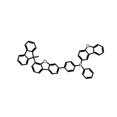 CC1(c2cccc3c2oc2cc(-c4ccc(N(c5ccccc5)c5ccc6oc7ccccc7c6c5)cc4)ccc23)c2ccccc2-c2ccccc21